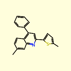 Cc1ccc2c(-c3ccccc3)cc(-c3ccc(C)s3)nc2c1